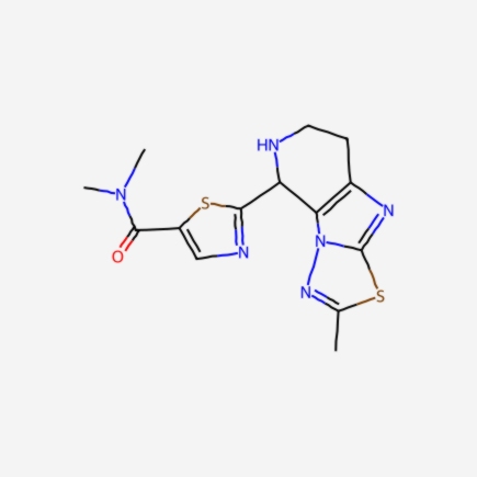 Cc1nn2c3c(nc2s1)CCNC3c1ncc(C(=O)N(C)C)s1